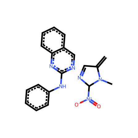 C=C1C=NC([N+](=O)[O-])N1C.c1ccc(Nc2ncc3ccccc3n2)cc1